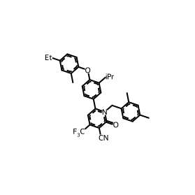 CCc1ccc(Oc2ccc(-c3cc(C(F)(F)F)c(C#N)c(=O)n3Cc3ccc(C)cc3C)cc2C(C)C)c(C)c1